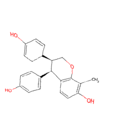 Cc1c(O)ccc2c1OC[C@H](C1C=CC(O)=CC1)[C@@H]2c1ccc(O)cc1